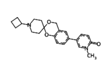 Cn1cc(-c2ccc3c(c2)COC2(CCN(C4CCC4)CC2)O3)ccc1=O